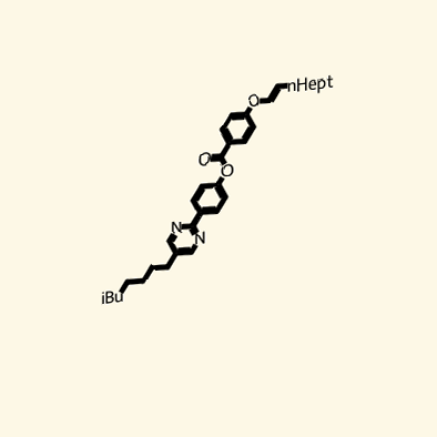 CCCCCCCC=COc1ccc(C(=O)Oc2ccc(-c3ncc(CCCCC(C)CC)cn3)cc2)cc1